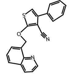 N#Cc1c(-c2ccccc2)csc1OCc1cccc2cccnc12